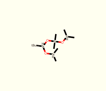 C[SiH](C)O[SiH](O[Si](C)(C)O[SiH](C)C)C(C)(C)C